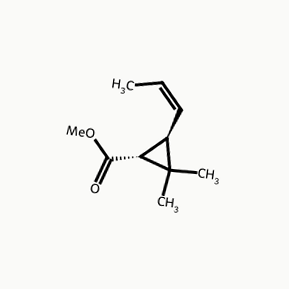 C/C=C\[C@@H]1[C@@H](C(=O)OC)C1(C)C